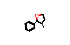 C[C@@H]1CCO[C@@H]1c1ccccc1